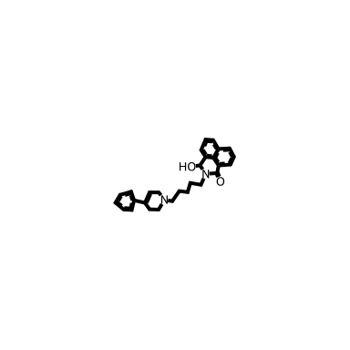 O=C1c2cccc3cccc(c23)C(O)N1CCCCCN1CC=C(c2ccccc2)CC1